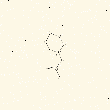 C=C(C)C[S+]1CCCCC1